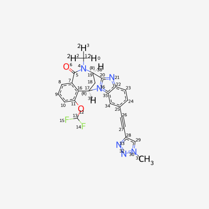 [2H]C([2H])([2H])N1C(=O)c2cccc(OC(F)F)c2[C@H]2C[C@@H]1c1nc3ccc(C#Cc4cn(C)nn4)cc3n12